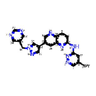 CC(C)c1cnnc(Nc2ccc3ncc(-c4cnn(Cc5cncnc5)c4)cc3n2)c1